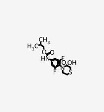 CC(C)COC(=O)Nc1cc(F)c(N2CCSCC2(O)O)c(F)c1